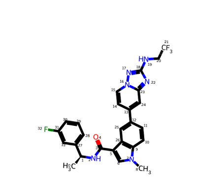 C[C@H](NC(=O)c1cn(C)c2ccc(-c3ccn4nc(NCC(F)(F)F)nc4c3)cc12)c1cccc(F)c1